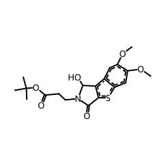 COc1cc2sc3c(c2cc1OC)C(O)N(CCC(=O)OC(C)(C)C)C3=O